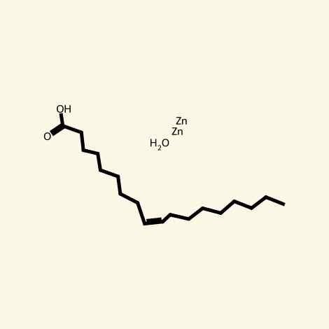 CCCCCCCC/C=C\CCCCCCCC(=O)O.O.[Zn].[Zn]